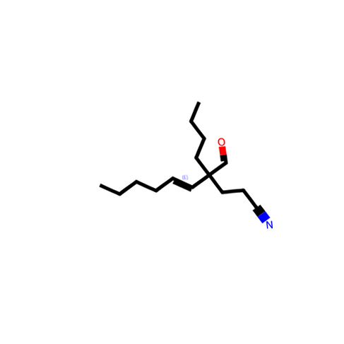 CCCC/C=C/C(C=O)(CCC#N)CCCC